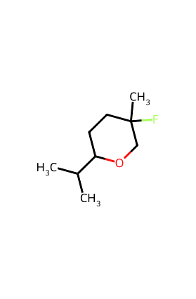 CC(C)C1CCC(C)(F)CO1